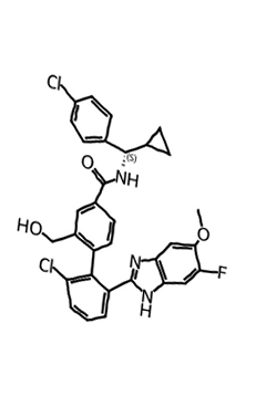 COc1cc2nc(-c3cccc(Cl)c3-c3ccc(C(=O)N[C@H](c4ccc(Cl)cc4)C4CC4)cc3CO)[nH]c2cc1F